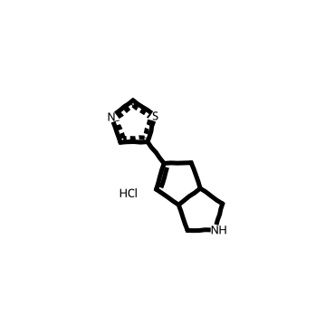 C1=C(c2cncs2)CC2CNCC12.Cl